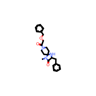 CN1C(=O)C(Cc2ccccc2)NC12CCN(C(=O)COCc1ccccc1)CC2